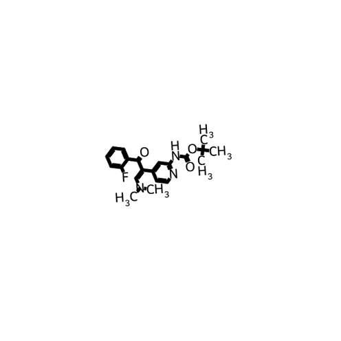 CN(C)C=C(C(=O)c1ccccc1F)c1ccnc(NC(=O)OC(C)(C)C)c1